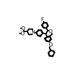 COC(OC)C1CCN(c2ccc(C3c4ccc(OCc5ccccc5)cc4COC3c3ccc(F)cc3)cc2)CC1